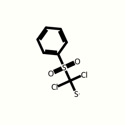 O=S(=O)(c1ccccc1)C([S])(Cl)Cl